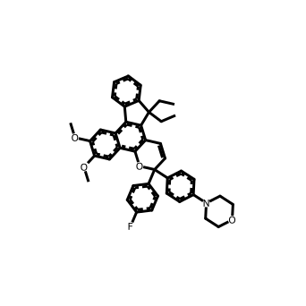 CCC1(CC)c2ccccc2-c2c1c1c(c3cc(OC)c(OC)cc23)OC(c2ccc(F)cc2)(c2ccc(N3CCOCC3)cc2)C=C1